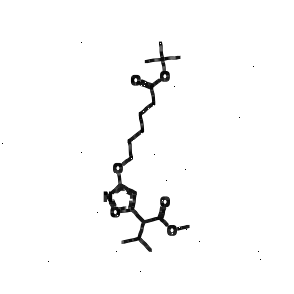 COC(=O)C(c1cc(OCCCCCC(=O)OC(C)(C)C)no1)C(C)C